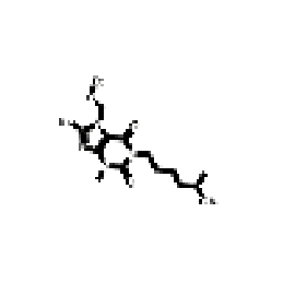 CCOCn1c(Br)nc2c1c(=O)n(CCCCC(C)OC(C)=O)c(=O)n2C